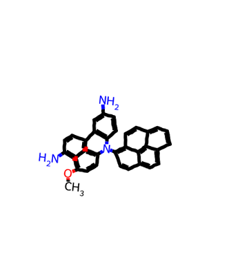 COc1ccc(N(c2ccc(N)cc2-c2ccc(N)cc2)c2ccc3ccc4cccc5ccc2c3c45)cc1